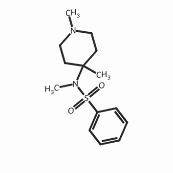 CN1CCC(C)(N(C)S(=O)(=O)c2ccccc2)CC1